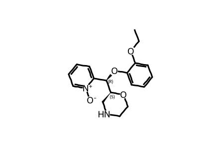 CCOc1ccccc1O[C@H](c1cccc[n+]1[O-])[C@@H]1CNCCO1